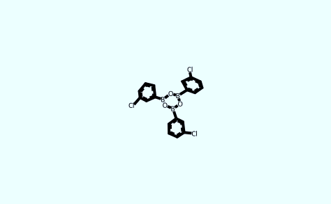 Clc1cccc(B2OB(c3cccc(Cl)c3)OB(c3cccc(Cl)c3)O2)c1